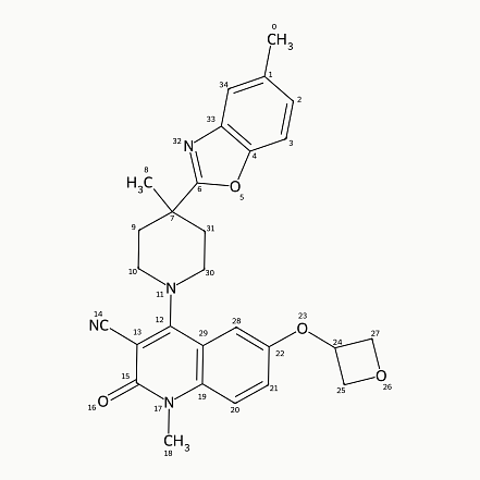 Cc1ccc2oc(C3(C)CCN(c4c(C#N)c(=O)n(C)c5ccc(OC6COC6)cc45)CC3)nc2c1